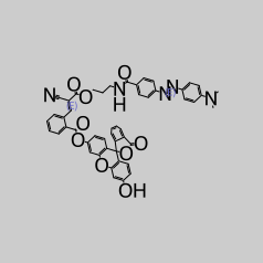 CN(C)c1ccc(/N=N/c2ccc(C(=O)NCCCOC(=O)/C(C#N)=C/c3ccccc3C(=O)Oc3ccc4c(c3)Oc3cc(O)ccc3C43OC(=O)c4ccccc43)cc2)cc1